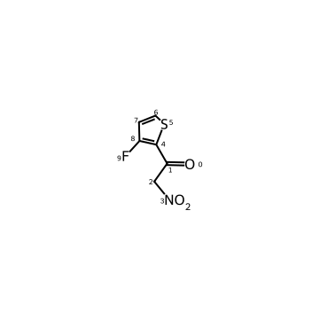 O=C(C[N+](=O)[O-])c1sccc1F